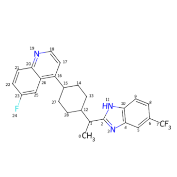 CC(c1nc2cc(C(F)(F)F)ccc2[nH]1)C1CCC(c2ccnc3ccc(F)cc23)CC1